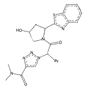 CC(C)C(C(=O)N1CC(O)CC1c1nc2ccccc2s1)n1cc(C(=O)N(C)C)nn1